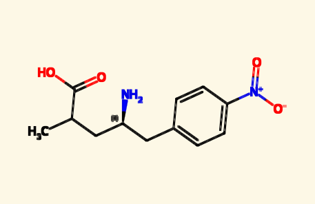 CC(C[C@@H](N)Cc1ccc([N+](=O)[O-])cc1)C(=O)O